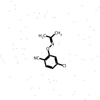 CC(C)=NOc1cc(Cl)ccc1C#N